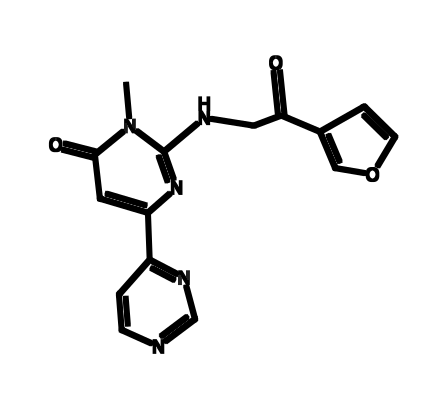 Cn1c(NCC(=O)c2ccoc2)nc(-c2ccncn2)cc1=O